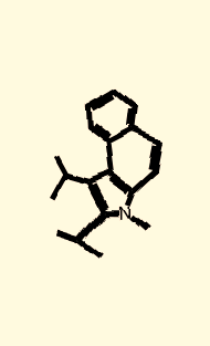 CC(C)c1c(C(C)C)n(C)c2ccc3ccccc3c12